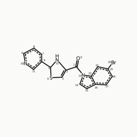 O=C(C1=CSC(c2cccnc2)N1)n1ccc2ccc(Br)cc21